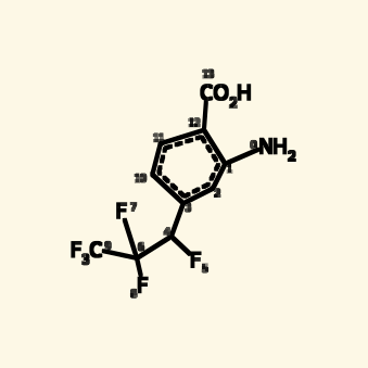 Nc1cc(C(F)C(F)(F)C(F)(F)F)ccc1C(=O)O